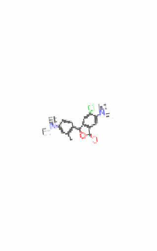 CCN(CC)c1ccc(C2OC(=O)c3cc(N(CC)CC)c(Cl)cc32)c(C)c1